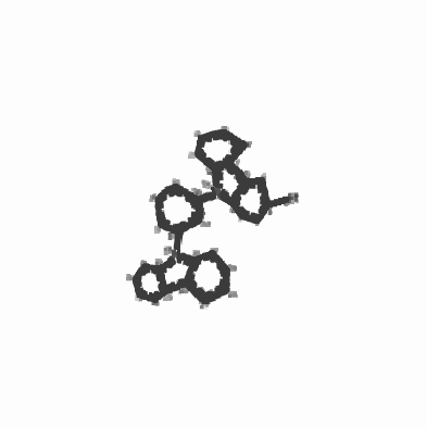 CCc1ccc2c(c1)c1ccccc1n2-c1cccc(-n2c3ccccc3c3ccccc32)c1